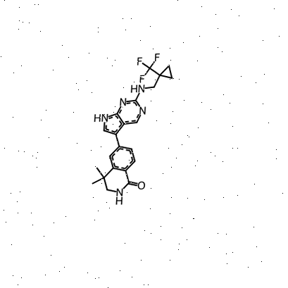 CC1(C)CNC(=O)c2ccc(-c3c[nH]c4nc(NCC5(C(F)(F)F)CC5)ncc34)cc21